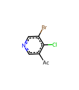 CC(=O)c1cncc(Br)c1Cl